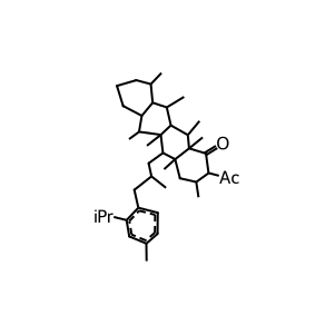 CC(=O)C1C(=O)C2(C)C(C)C3C(C)C4C(C)CCCC4C(C)C3(C)C(CC(C)Cc3ccc(C)cc3C(C)C)C2(C)CC1C